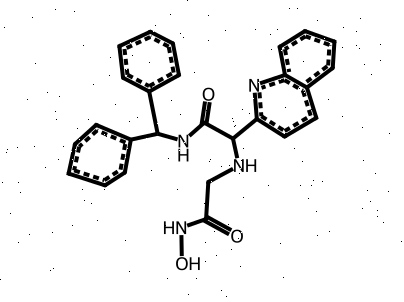 O=C(CNC(C(=O)NC(c1ccccc1)c1ccccc1)c1ccc2ccccc2n1)NO